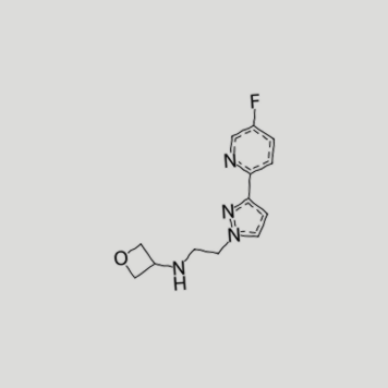 Fc1ccc(-c2ccn(CCNC3COC3)n2)nc1